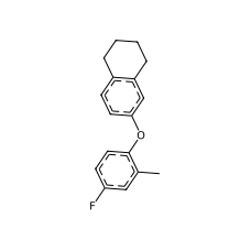 Cc1cc(F)ccc1Oc1ccc2c(c1)CCCC2